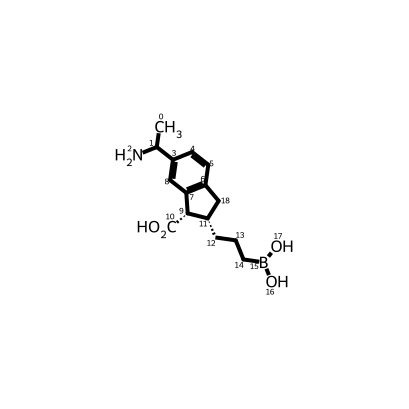 CC(N)c1ccc2c(c1)[C@@H](C(=O)O)[C@@H](CCCB(O)O)C2